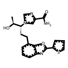 C[C@H](O)[C@@H](CCc1cccc2nc(-c3cccs3)oc12)n1cnc(C(N)=O)c1